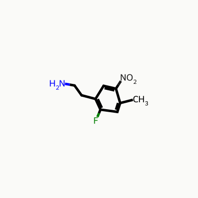 Cc1cc(F)c(CCN)cc1[N+](=O)[O-]